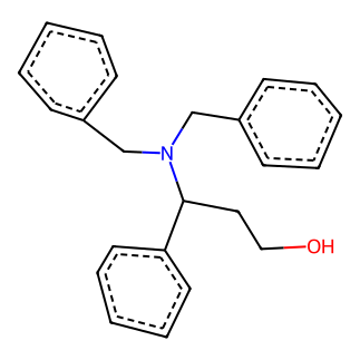 OCCC(c1ccccc1)N(Cc1ccccc1)Cc1ccccc1